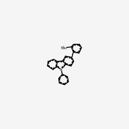 CC(C)(C)c1ccccc1-c1ccc2c(c1)c1ccccc1n2-c1ccccc1